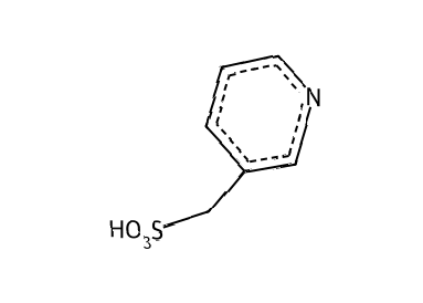 O=S(=O)(O)Cc1cccnc1